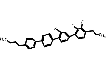 CCCCc1ccc(-c2ccc(-c3ccc(-c4ccc(CCC)c(F)c4F)cc3F)cc2)cc1